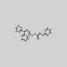 O=C(CCc1ccc(N2CCOCC2)c2ccccc12)OCc1ccccc1